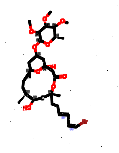 CO[C@@H]1[C@@H](OC)[C@H](C)O[C@@H](O[C@@H]2C[C@@H]3CC[C@@H](C)[C@H](O)C[C@@](C)(CC/C=C/C=C\Br)OC(=O)C[C@](O)(C2)O3)[C@@H]1OC